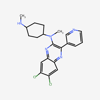 CNC1CCC(N(C)c2nc3cc(Cl)c(Cl)cc3nc2-c2cccnc2)CC1